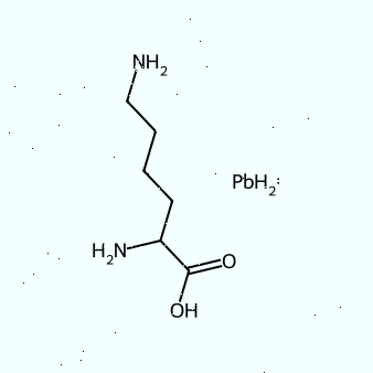 NCCCCC(N)C(=O)O.[PbH2]